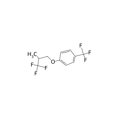 CC(COc1ccc(C(F)(F)F)cc1)C(F)(F)F